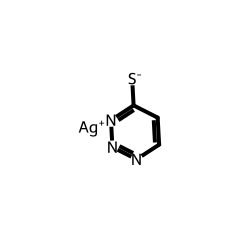 [Ag+].[S-]c1ccnnn1